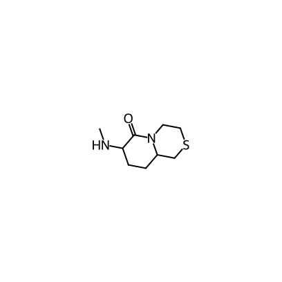 CNC1CCC2CSCCN2C1=O